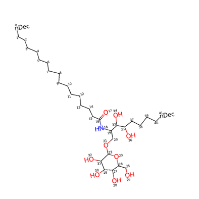 CCCCCCCCCCCCCCCCCCCCCCCCCC(=O)NC(COC1OC(CO)C(O)C(O)C1O)C(O)C(O)CCCCCCCCCCCCCC